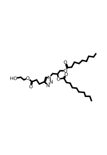 CCCCCCCCCC(=O)OC(COC(=O)CCCCCCCC)Cn1cc(CCC(=O)OCCO)nn1